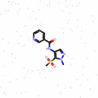 Cn1ncc(NC(=O)c2cccnc2)c1S(C)(=O)=O